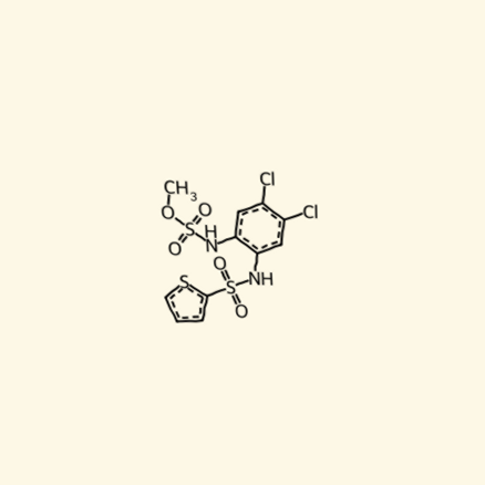 COS(=O)(=O)Nc1cc(Cl)c(Cl)cc1NS(=O)(=O)c1cccs1